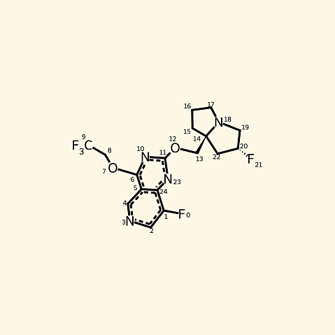 Fc1cncc2c(OCC(F)(F)F)nc(OC[C@@]34CCCN3C[C@H](F)C4)nc12